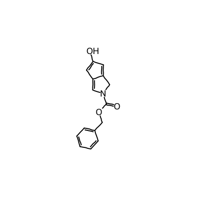 O=C(OCc1ccccc1)N1C=C2C=C(O)C=C2C1